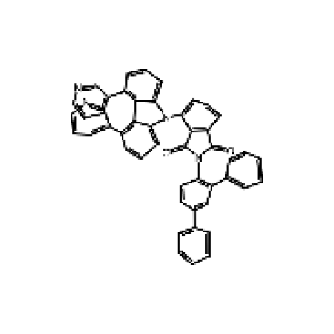 O=C1c2cccc(-n3c4cccc(-c5cccnc5)c4c4c(-c5cccnc5)cccc43)c2C(=O)N1c1ccc(-c2ccccc2)cc1-c1ccccc1